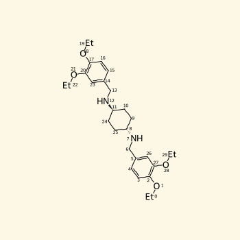 CCOc1ccc(CN[C@H]2CC[C@H](NCc3ccc(OCC)c(OCC)c3)CC2)cc1OCC